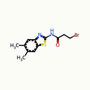 Cc1cc2nc(NC(=O)CCBr)sc2cc1C